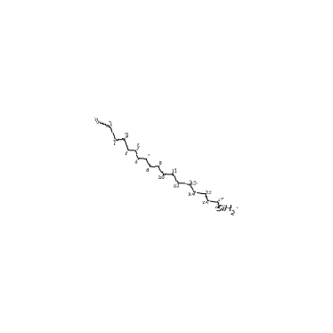 CCCCCCCCCCCCCCCCCC[SiH2]